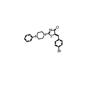 O=C1N=C(N2CCN(c3ccccc3)CC2)SC1=Cc1ccc(Br)cc1